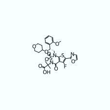 COc1ccccc1[C@H](CN1c2sc(-c3ncco3)c(F)c2C(=O)N(C(C)(C)C(=O)O)S1(=O)=O)OC1CCOCC1